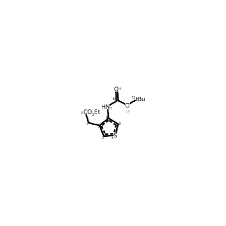 CCOC(=O)Cc1cscc1NC(=O)OC(C)(C)C